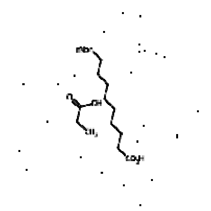 CCC(=O)O.CCCCCCCCCCCCCCCCCC(=O)O